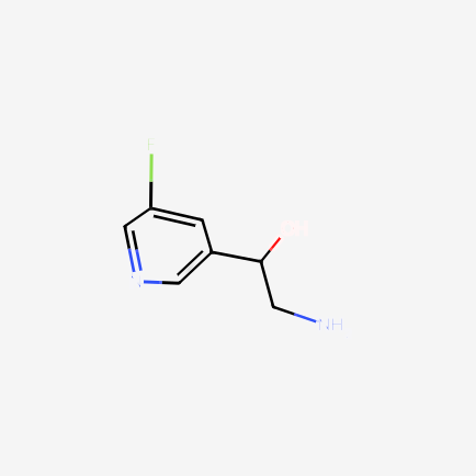 NCC(O)c1cncc(F)c1